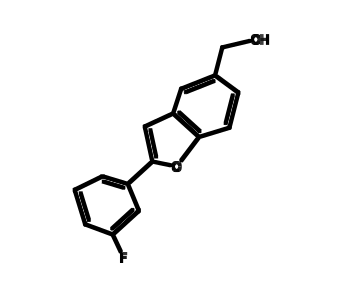 OCc1ccc2oc(-c3cccc(F)c3)cc2c1